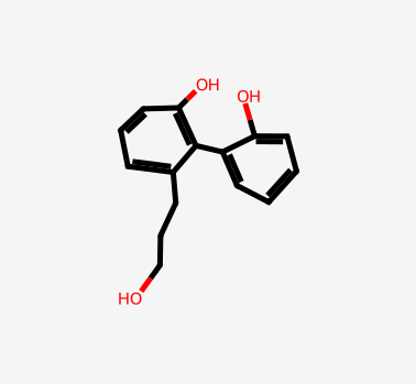 OCCCc1cccc(O)c1-c1ccccc1O